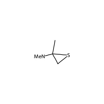 CNC1(C)CS1